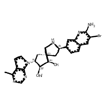 Cc1ncnc2c1ccn2[C@@H]1C[C@@]2(CN[C@@H](c3ccc4cc(Br)c(N)nc4c3)C2)[C@@H](O)[C@H]1O